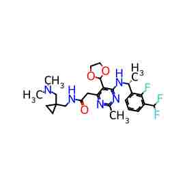 Cc1nc(CC(=O)NCC2(CN(C)C)CC2)c(C2OCCO2)c(N[C@H](C)c2cccc(C(F)F)c2F)n1